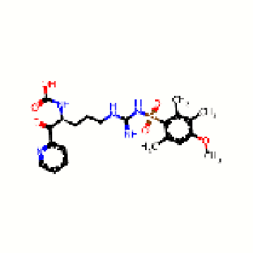 COc1cc(C)c(S(=O)(=O)NC(=N)NCCC[C@H](NC(=O)O)C(=O)c2ccccn2)c(C)c1C